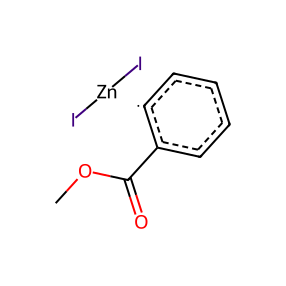 COC(=O)c1[c]cccc1.[I][Zn][I]